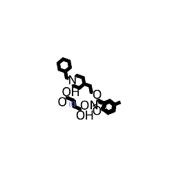 Cc1ccc2onc(OCCC3CCN(CC4CCCCC4)CC3)c2c1.O=C(O)/C=C/C(=O)O